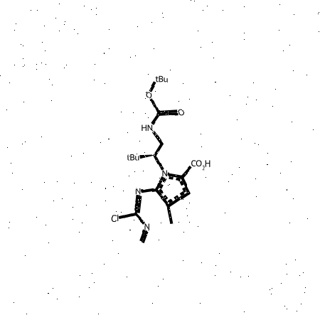 C=N/C(Cl)=N\c1c(C)cc(C(=O)O)n1[C@H](CNC(=O)OC(C)(C)C)C(C)(C)C